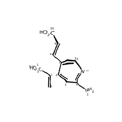 C=CC(=O)O.Nc1ccc(C=CC(=O)O)cn1